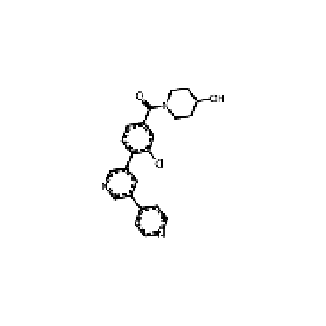 O=C(c1ccc(-c2cncc(-c3ccncc3)c2)c(Cl)c1)N1CCC(O)CC1